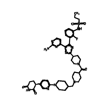 CCCS(=O)(=O)Nc1cccc(-c2nc(C3CCN(C(=O)C4CCN(CC5CCN(c6ccc([C@@H]7CCC(=O)NC7=O)cn6)CC5)CC4)CC3)sc2-c2ccnc(N)n2)c1F